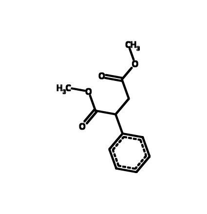 COC(=O)CC(C(=O)OC)c1ccccc1